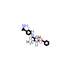 CC(NC(=O)OCc1ccccc1)C(C)C(=O)Nc1ccc(C2CC2N)cc1